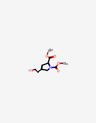 CC(C)(C)OC(=O)C1CC(CCO)CN1C(=O)OC(C)(C)C